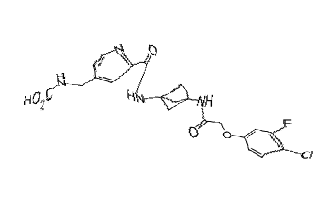 O=C(O)NCc1ccnc(C(=O)NC23CC(NC(=O)COc4ccc(Cl)c(F)c4)(C2)C3)c1